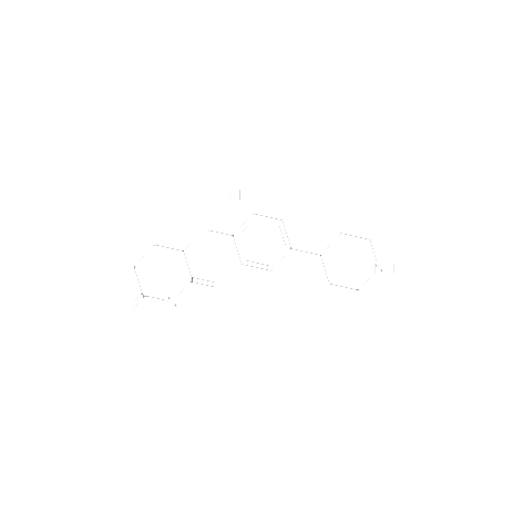 Cl.O=C1CCC(Oc2ccc(C3CCNCC3)cc2)C(=O)N1